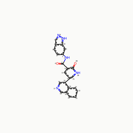 O=C(Nc1ccc2cn[nH]c2c1)c1cc(-c2cncc3ccccc23)c[nH]c1=O